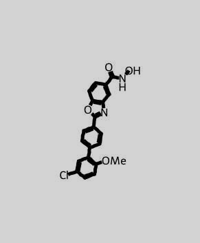 COc1ccc(Cl)cc1-c1ccc(-c2nc3cc(C(=O)NO)ccc3o2)cc1